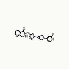 O=C1c2cccnc2CNN1Cc1nc(C2C3CN(c4ccnc(F)c4)CC32)no1